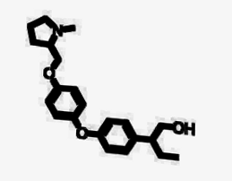 CCC(CO)c1ccc(Oc2ccc(OCC3CCCN3C)cc2)cc1